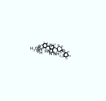 CS(=O)(=O)Nc1cccc(-c2ncc(C3=CC=C(Oc4ccccc4)CC3)c3c(N)n[nH]c23)c1